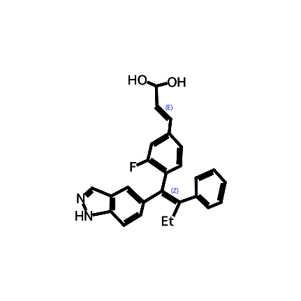 CC/C(=C(\c1ccc2[nH]ncc2c1)c1ccc(/C=C/C(O)O)cc1F)c1ccccc1